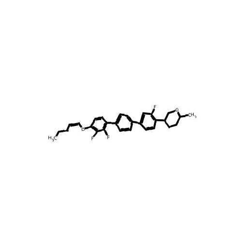 CCC/C=C\Oc1ccc(-c2ccc(-c3ccc(C4CCC(C)OC4)c(F)c3)cc2)c(F)c1F